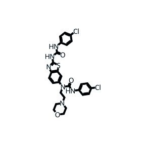 O=C(Nc1ccc(Cl)cc1)Nc1nc2ccc(N(CCN3CCOCC3)C(=O)Nc3ccc(Cl)cc3)cc2s1